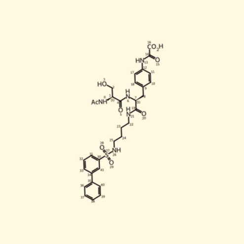 CC(=O)N[C@@H](CO)C(=O)N[C@@H](Cc1ccc(NC(=O)C(=O)O)cc1)C(=O)NCCCCNS(=O)(=O)c1cccc(-c2ccccc2)c1